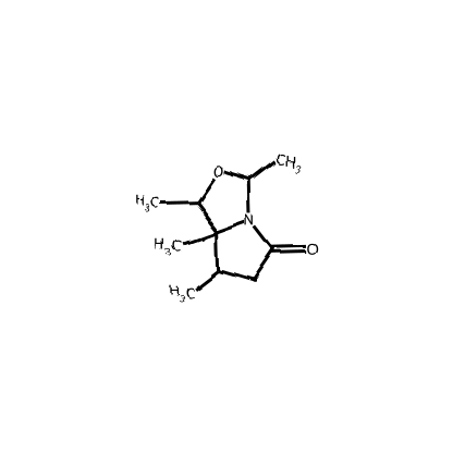 CC1OC(C)C2(C)C(C)CC(=O)N12